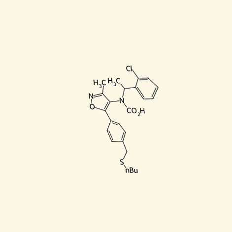 CCCCSCc1ccc(-c2onc(C)c2N(C(=O)O)C(C)c2ccccc2Cl)cc1